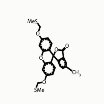 CSCOc1ccc2c(c1)Oc1cc(OCSC)ccc1C21OC(=O)c2cc(C)ccc21